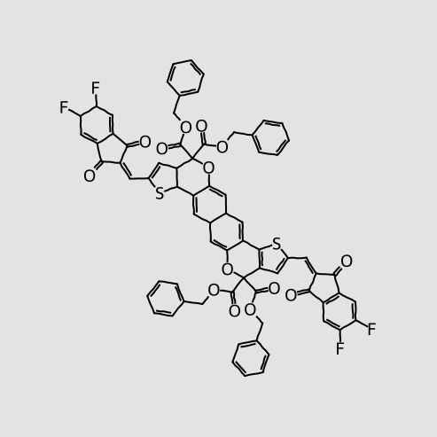 O=C1C(=CC2=CC3C(S2)C2=CC4C=C5OC(C(=O)OCc6ccccc6)(C(=O)OCc6ccccc6)c6cc(C=C7C(=O)c8cc(F)c(F)cc8C7=O)sc6C5=CC4C=C2OC3(C(=O)OCc2ccccc2)C(=O)OCc2ccccc2)C(=O)C2=CC(F)C(F)C=C12